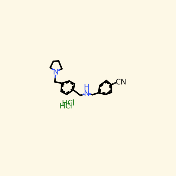 Cl.Cl.N#Cc1ccc(CNCc2ccc(CN3CCCC3)cc2)cc1